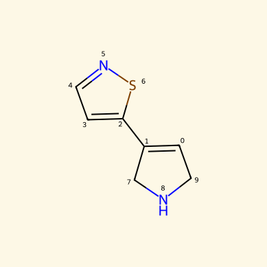 C1=C(c2ccns2)CNC1